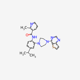 Cc1ncccc1C(=O)Nc1ccc(C(C)C)cc1N1CCN(c2ncnc3ccsc23)CC1